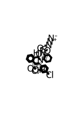 [N-]=[N+]=NCS(=O)(=O)N[C@@H]1CCCC[C@H]1N1C(=O)c2ccccc2[C@@H](C(=O)O)[C@@H]1c1ccc(Cl)cc1Cl